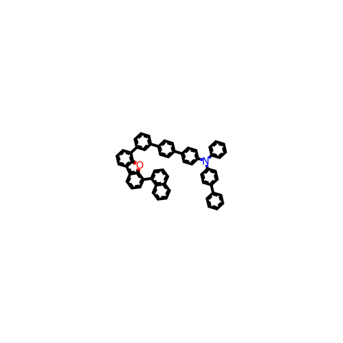 c1ccc(-c2ccc(N(c3ccccc3)c3ccc(-c4ccc(-c5cccc(-c6cccc7c6oc6c(-c8cccc9ccccc89)cccc67)c5)cc4)cc3)cc2)cc1